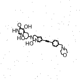 O=c1[nH]cnc(CC(CO)N2Cc3cc(C#Cc4ccc(CN5CCOCC5)cc4)cn3C2O)c1O